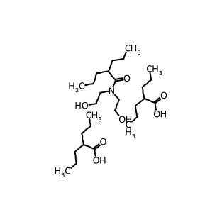 CCCC(CCC)C(=O)N(CCO)CCO.CCCC(CCC)C(=O)O.CCCC(CCC)C(=O)O